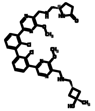 COc1nc(-c2cccc(-c3cccc(-c4cnc(CNC[C@H]5C[C@](C)(O)C5)c(OC)n4)c3Cl)c2Cl)cnc1CNC[C@@H]1CCC(=O)N1